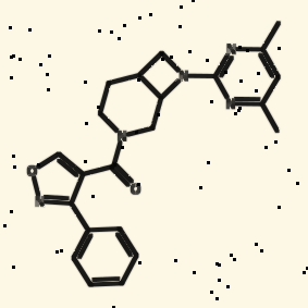 Cc1cc(C)nc(N2CC3CCN(C(=O)c4conc4-c4ccccc4)CC32)n1